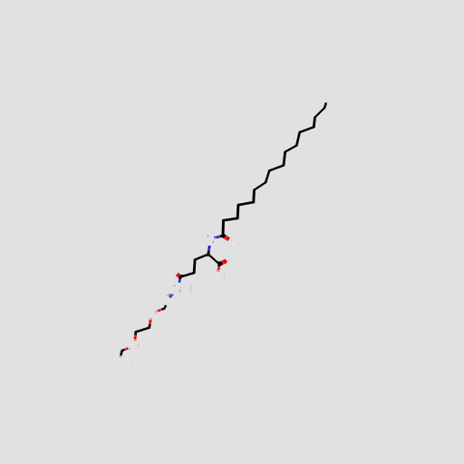 CCCCCCCCCCCCCCCC(=O)NC(CCC(=O)NCCOCCOCC)C(=O)O